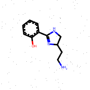 NCCC1CNC(c2ccccc2O)=N1